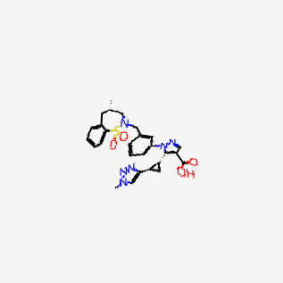 C[C@H]1Cc2ccccc2S(=O)(=O)N(Cc2cccc(-n3ncc(C(=O)O)c3[C@@H]3C[C@H]3c3cn(C)nn3)c2)C1